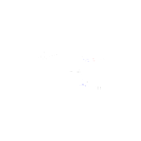 CCCC(N=O)NC